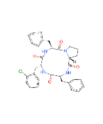 O=C1N[C@H](Cc2ccccc2Cl)C(=O)N[C@@H](Cc2ccccc2)C(=O)N2CCC[C@@H]2C(=O)N[C@H]1Cc1ccccc1